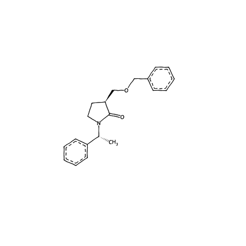 C[C@H](c1ccccc1)N1CC[C@@H](COCc2ccccc2)C1=O